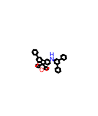 c1ccc(-c2cc(Nc3ccc4c(c3)-c3cc(-c5ccccc5)ccc3C43c4ccccc4Oc4ccccc43)cc(-c3ccccc3)c2)cc1